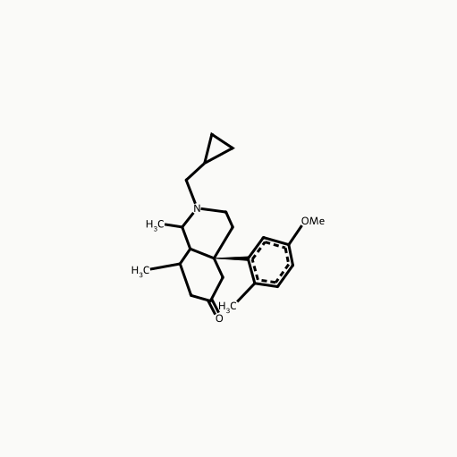 COc1ccc(C)c([C@]23CCN(CC4CC4)C(C)C2C(C)CC(=O)C3)c1